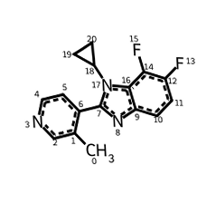 Cc1cnccc1-c1nc2ccc(F)c(F)c2n1C1CC1